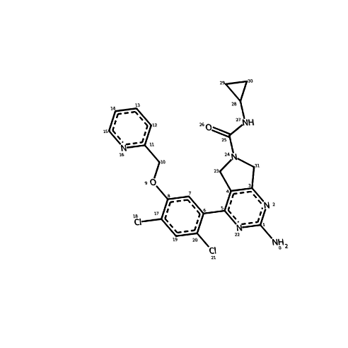 Nc1nc2c(c(-c3cc(OCc4ccccn4)c(Cl)cc3Cl)n1)CN(C(=O)NC1CC1)C2